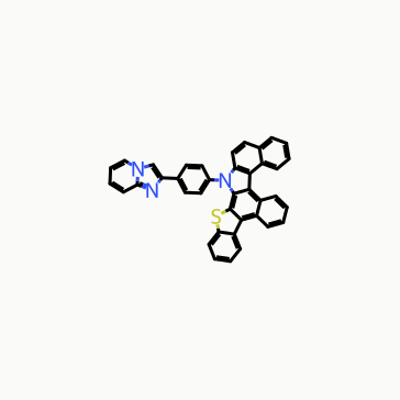 c1ccc2c(c1)ccc1c2c2c3ccccc3c3c4ccccc4sc3c2n1-c1ccc(-c2cn3ccccc3n2)cc1